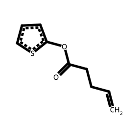 C=CCCC(=O)Oc1cccs1